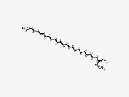 [CH2]CCCCCCCCCCC=CCCCCCCCCCCCC(C)C[CH2]